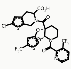 CCC[C@H]1N(C(=O)c2ncccc2C(F)(F)F)CCC[C@]1(Oc1csc(C(F)(F)F)c1)C(=O)N1Cc2sc(Cl)cc2CC1C(=O)O